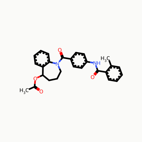 CC(=O)OC1CCCN(C(=O)c2ccc(NC(=O)c3ccccc3C)cc2)c2ccccc21